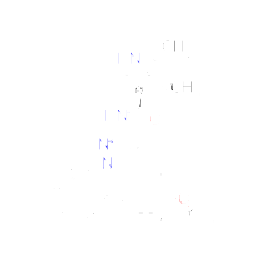 C=C1NC[C@H](C(=O)Nc2cc(-c3cccc(OC(F)(F)F)c3)n(-c3ccccc3)n2)[C@H]1C